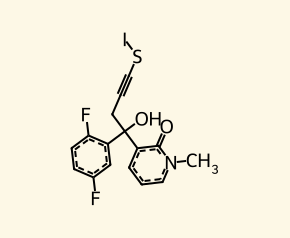 Cn1cccc(C(O)(CC#CSI)c2cc(F)ccc2F)c1=O